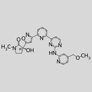 COCc1ccnc(Nc2nccc(-c3cccc(-c4cc([C@]5(O)CCN(C)C5=O)on4)n3)n2)c1